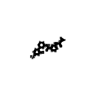 O=C(N[C@@H]1CCCN(c2ccc(C(F)(F)F)cc2Cl)C1)c1ccnc(NC(=O)C2CC2)c1